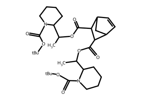 CC(OC(=O)C1C2C=CC(C2)C1C(=O)OC(C)C1CCCCN1C(=O)OC(C)(C)C)C1CCCCN1C(=O)OC(C)(C)C